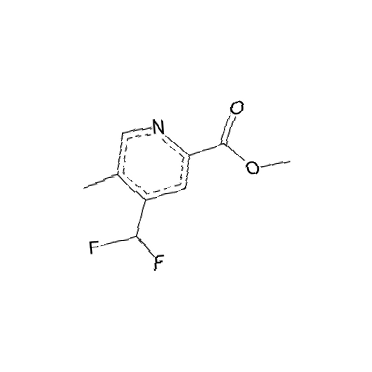 COC(=O)c1cc(C(F)F)c(C)cn1